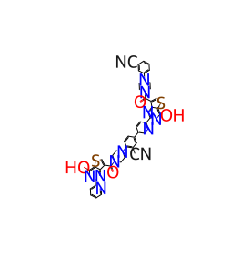 N#Cc1cccc(N2CCN(C(=O)c3csc4c(O)nc(-c5ccc(-c6ccc(N7CCN(C(=O)c8csc9c(O)nc(-c%10ccccn%10)nc89)CC7)c(C#N)c6)cn5)nc34)CC2)c1